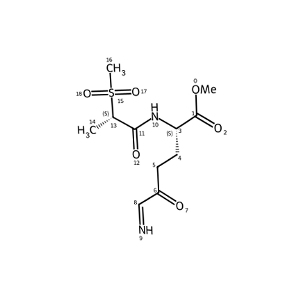 COC(=O)[C@H](CCC(=O)C=N)NC(=O)[C@H](C)S(C)(=O)=O